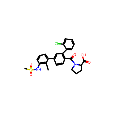 Cc1c(NS(C)(=O)=O)cccc1-c1ccc(C(=O)N2CCCC2C(=O)O)c(-c2ccccc2Cl)c1